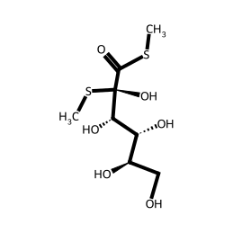 CSC(=O)[C@@](O)(SC)[C@@H](O)[C@H](O)[C@H](O)CO